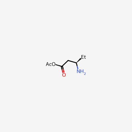 CC[C@@H](N)CC(=O)OC(C)=O